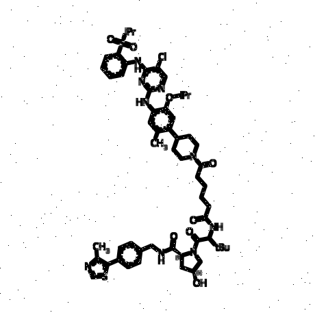 Cc1cc(Nc2ncc(Cl)c(Nc3ccccc3S(=O)(=O)C(C)C)n2)c(OC(C)C)cc1C1CCN(C(=O)CCCCC(=O)NC(C(=O)N2C[C@@H](O)C[C@H]2C(=O)NCc2ccc(-c3scnc3C)cc2)C(C)(C)C)CC1